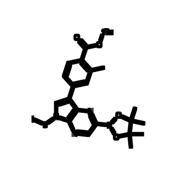 Cc1cc(-c2cn(SI)c3ncc(B4OC(C)(C)C(C)(C)O4)nc23)ccc1C(=O)OC(C)(C)C